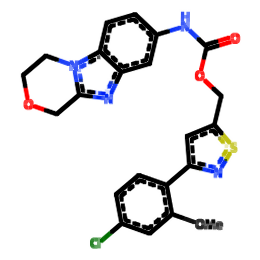 COc1cc(Cl)ccc1-c1cc(COC(=O)Nc2ccc3c(c2)nc2n3CCOC2)sn1